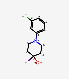 OC1(I)CCN(c2cccc(F)c2)CC1